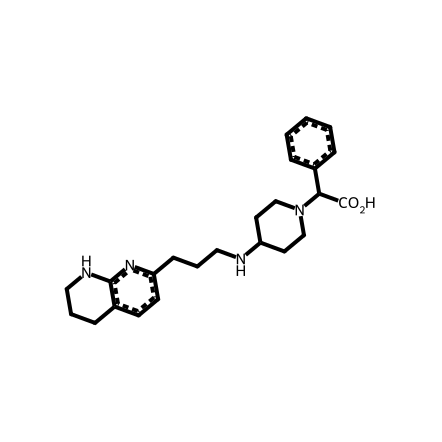 O=C(O)C(c1ccccc1)N1CCC(NCCCc2ccc3c(n2)NCCC3)CC1